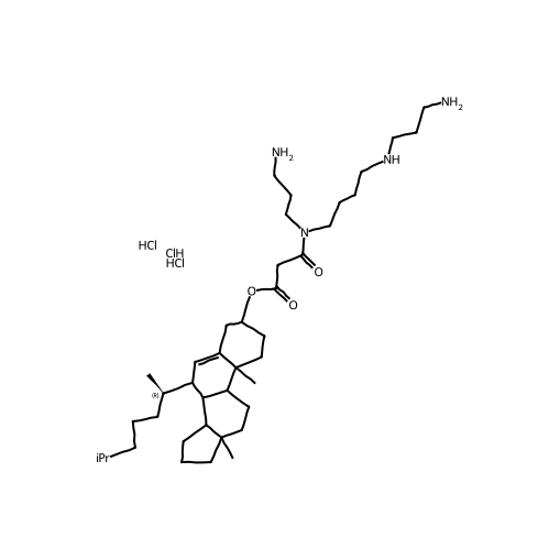 CC(C)CCC[C@@H](C)C1C=C2CC(OC(=O)CC(=O)N(CCCN)CCCCNCCCN)CCC2(C)C2CCC3(C)CCCC3C12.Cl.Cl.Cl